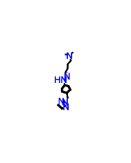 CN(C)CCC/C=N/Nc1ccc(Cn2nccn2)cc1